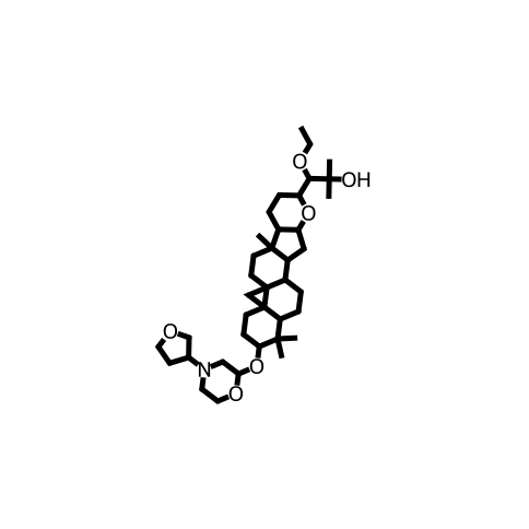 CCOC(C1CCC2C(CC3C4CCC5C(C)(C)C(OC6CN(C7CCOC7)CCO6)CCC56CC46CCC23C)O1)C(C)(C)O